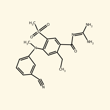 CCc1cc(N(C)c2cccc(C#N)c2)c(S(C)(=O)=O)cc1C(=O)N=C(N)N